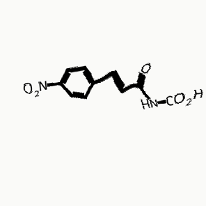 O=C(O)NC(=O)/C=C/c1ccc([N+](=O)[O-])cc1